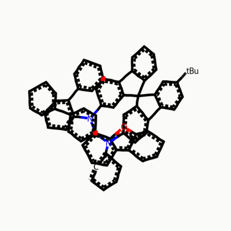 CC(C)(C)c1ccc2c(c1)C1(c3ccccc3-c3ccc(N(c4ccccc4-c4ccccc4)c4cccc5c4oc4ccccc45)cc31)c1cc(N(c3ccccc3)c3ccc(-c4ccccc4)cc3)ccc1-2